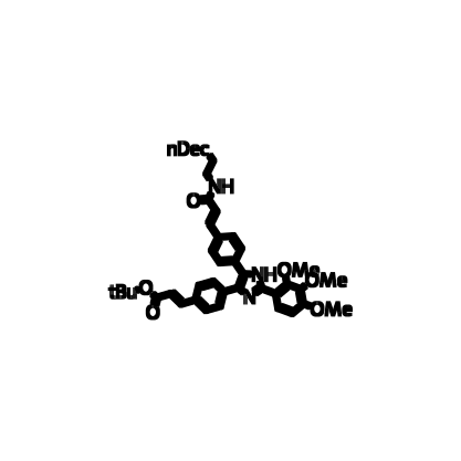 CCCCCCCCCCCCNC(=O)/C=C/c1ccc(-c2[nH]c(-c3ccc(OC)c(OC)c3OC)nc2-c2ccc(C=CC(=O)OC(C)(C)C)cc2)cc1